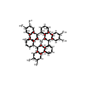 Fc1ccc(-c2cccc(-c3ccc(F)c(F)c3)c2[O][Al]([O]c2c(-c3ccc(F)c(F)c3)cccc2-c2ccc(F)c(F)c2)[O]c2c(-c3ccc(F)c(F)c3)cccc2-c2ccc(F)c(F)c2)cc1F